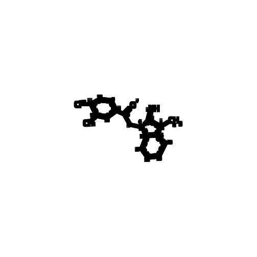 Cn1c(=N)n(CC(=O)c2ccc(Cl)c(Cl)c2)c2ccccc21